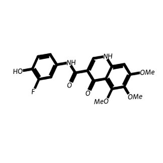 COc1cc2[nH]cc(C(=O)Nc3ccc(O)c(F)c3)c(=O)c2c(OC)c1OC